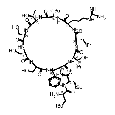 CC[C@H](C)[C@@H]1NC(=O)[C@@H](CCCNC(=N)N)NC(=O)[C@H](CC(C)C)NC(=O)[C@H]([C@H](O)C(C)C)NC(=O)[C@@H](NC(=O)[C@H](CC(C)(C)C)NC(=O)[C@H](N)CC(C)(C)C)[C@@H](c2ccccc2)NC(=O)C(CO)NC(=O)[C@H](CO)NC(=O)[C@@H](CO)NC(=O)[C@H]([C@H](C)O)NC1=O